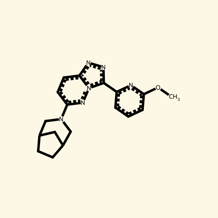 COc1cccc(-c2nnc3ccc(N4CC5CCC(C5)C4)nn23)n1